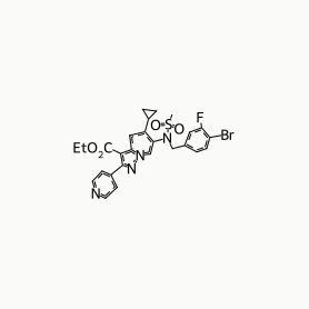 CCOC(=O)c1c(-c2ccncc2)nn2cc(N(Cc3ccc(Br)c(F)c3)S(C)(=O)=O)c(C3CC3)cc12